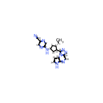 CC[C@H]1C[C@@H](Nc2cnc(C#N)cn2)CC1c1nnc2cnc3[nH]ccc3n12